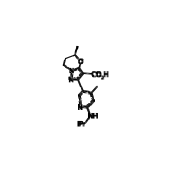 Cc1cc(NC(C)C)ncc1-c1nn2c(c1C(=O)O)O[C@H](C)CC2